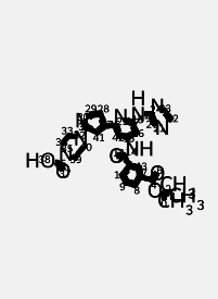 CC(C)(C)OC(=O)c1cccc(C(=O)Nc2cc(Nc3cnccn3)nc(-c3ccnc(N4CCN(C(=O)O)CC4)c3)c2)c1